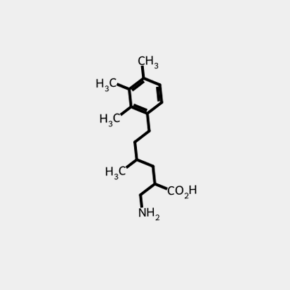 Cc1ccc(CCC(C)CC(CN)C(=O)O)c(C)c1C